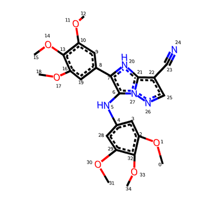 COc1cc(Nc2c(-c3cc(OC)c(OC)c(OC)c3)[nH]c3c(C#N)cnn23)cc(OC)c1OC